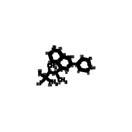 C[C@@H](N(C)c1nc(-c2ccncc2)nc2cnccc12)C(F)(F)P